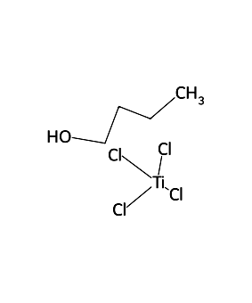 CCCCO.[Cl][Ti]([Cl])([Cl])[Cl]